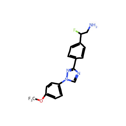 NCC(F)c1ccc(-c2ncn(-c3ccc(OC(F)(F)F)cc3)n2)cc1